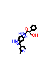 Cc1cc(-c2n[nH]c3cc4[nH]c(C(=O)[C@H](CO)c5ccccc5)nc4cc23)ccn1